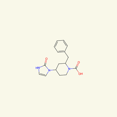 O=C(O)N1CCC(n2cc[nH]c2=O)CC1Cc1ccccc1